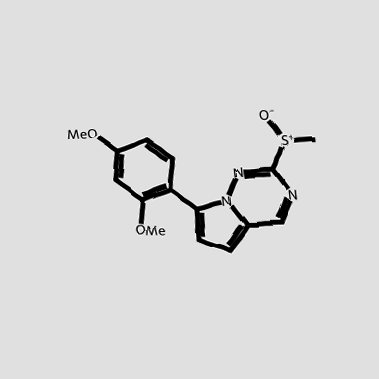 COc1ccc(-c2ccc3cnc([S+](C)[O-])nn23)c(OC)c1